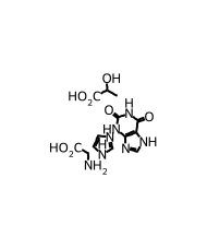 CC(O)C(=O)O.NCC(=O)O.O=c1[nH]c(=O)c2[nH]cnc2[nH]1.c1c[nH]cn1